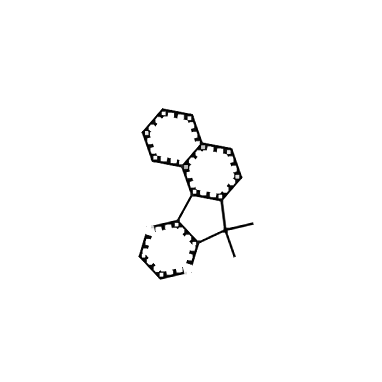 CC1(C)c2ccc3ccccc3c2-c2nccnc21